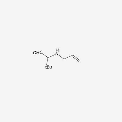 C=CCNC(C=O)C(C)(C)C